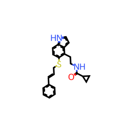 O=C(NCCc1c(SCC=Cc2ccccc2)ccc2[nH]ccc12)C1CC1